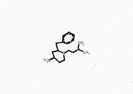 CC(C)CCN1CCC(N)CC1Cc1ccccc1